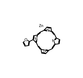 C1=CC2=NC1=CC1=NC(=CC3=NC(=CC4=NC(=C2)C=C4)C=C3c2ccco2)C=C1.[Zn]